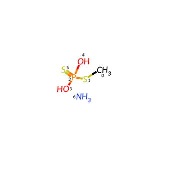 CSP(O)(O)=S.N